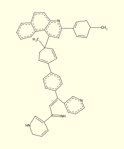 CC1C=CC(c2cc(C3(C)C=CC(c4ccc(/C(=C/C(=N)C5=CNCC=C5)c5cccnc5)cc4)=CC3)c3c(ccc4ccccc43)n2)=CC1